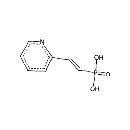 O=P(O)(O)C=Cc1ccccn1